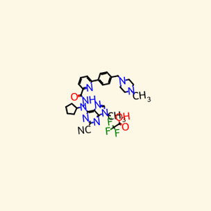 CN1CCN(Cc2ccc(-c3cccc(C(=O)NN(c4nc(C#N)nc5c4ncn5C)C4CCCC4)n3)cc2)CC1.O=C(O)C(F)(F)F